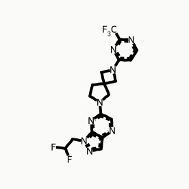 FC(F)Cn1ncc2ncc(N3CCC4(CN(c5ccnc(C(F)(F)F)n5)C4)C3)nc21